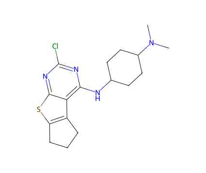 CN(C)C1CCC(Nc2nc(Cl)nc3sc4c(c23)CCC4)CC1